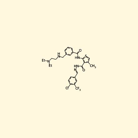 CCN(CC)CCNCc1cccc(C(=O)Nc2scc(C)c2C(=O)N/N=C/c2ccc(Cl)c(C(F)(F)F)c2)c1